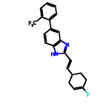 FC1=CCC(/C=C/c2nc3cc(-c4ccccc4C(F)(F)F)ccc3[nH]2)CC1